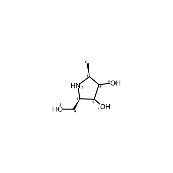 C[C@@H]1N[C@H](CO)C(O)C1O